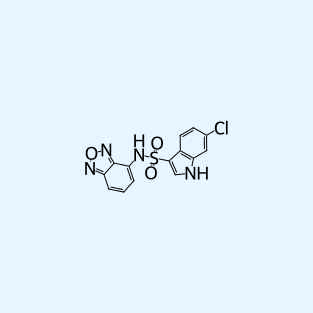 O=S(=O)(Nc1cccc2nonc12)c1c[nH]c2cc(Cl)ccc12